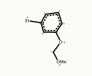 CCc1[c]ccc(OCOC)c1